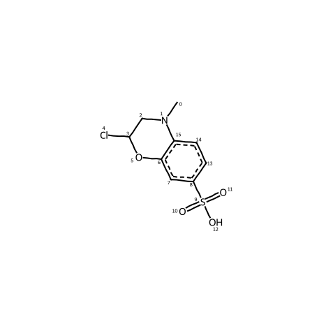 CN1CC(Cl)Oc2cc(S(=O)(=O)O)ccc21